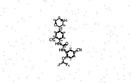 N#Cc1ccc(OC(F)F)c(NC(=O)Nc2ccc([C@@H]3CNCCO3)cc2Cl)c1